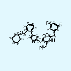 CC(C)C[C@H](NC(=O)Cc1cc(F)cc(F)c1)C(=O)Nc1ncc(-c2ccccc2COC2CCCCC2)s1